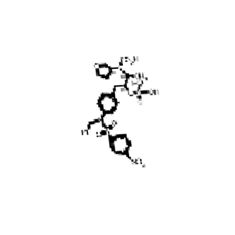 CC(C)CN(c1ccc(C[C@H](OP(=O)(O)O)[C@H](C)N(C(=O)O)[C@H]2CCOC2)cc1)S(=O)(=O)c1ccc([N+](=O)[O-])cc1